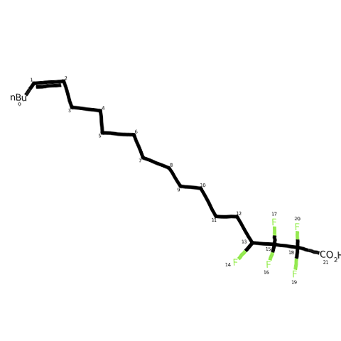 CCCC/C=C\CCCCCCCCCCC(F)C(F)(F)C(F)(F)C(=O)O